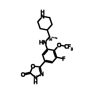 C[C@H](Nc1cc(-c2n[nH]c(=O)o2)cc(F)c1OC(F)(F)F)C1CCNCC1